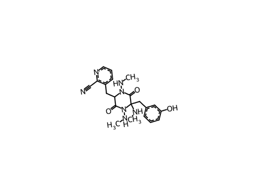 CNN1C(=O)C(Cc2cccc(O)c2)(NC)N(NC)C(=O)C1Cc1cccnc1C#N